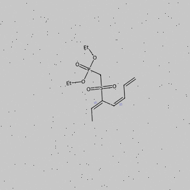 C=C/C=C\C(=C/C)S(=O)(=O)CP(=O)(OCC)OCC